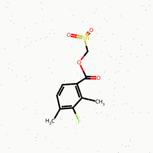 Cc1ccc(C(=O)OC[SH](=O)=O)c(C)c1F